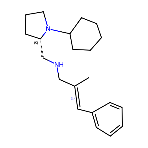 C/C(=C\c1ccccc1)CNC[C@@H]1CCCN1C1CCCCC1